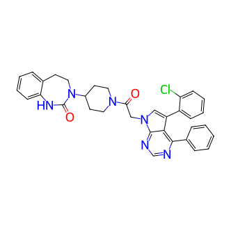 O=C(Cn1cc(-c2ccccc2Cl)c2c(-c3ccccc3)ncnc21)N1CCC(N2CCc3ccccc3NC2=O)CC1